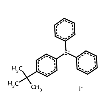 CC(C)(C)c1ccc([S+](c2ccccc2)c2ccccc2)cc1.[I-]